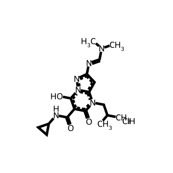 CC(C)Cn1c(=O)c(C(=O)NC2CC2)c(O)n2nc(N=CN(C)C)cc12.Cl